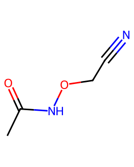 CC(=O)NOCC#N